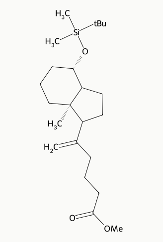 C=C(CCCC(=O)OC)C1CCC2[C@@H](O[Si](C)(C)C(C)(C)C)CCC[C@]12C